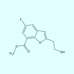 COC(=O)c1cc(F)cc2cc(CCO)oc12